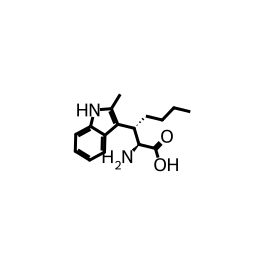 CCCC[C@@H](c1c(C)[nH]c2ccccc12)[C@H](N)C(=O)O